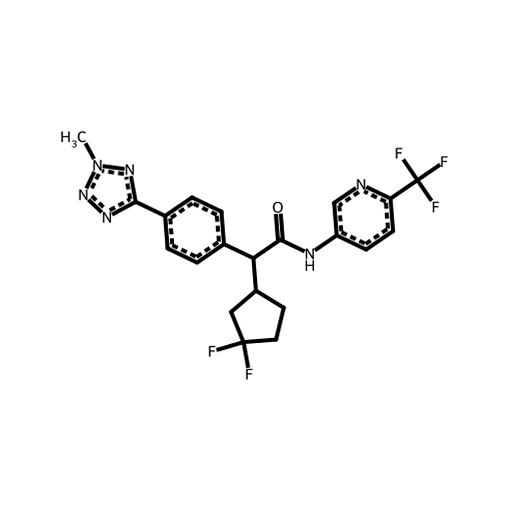 Cn1nnc(-c2ccc(C(C(=O)Nc3ccc(C(F)(F)F)nc3)C3CCC(F)(F)C3)cc2)n1